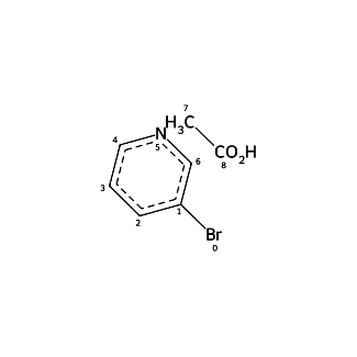 Brc1cccnc1.CC(=O)O